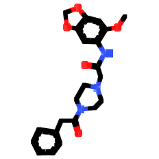 COc1cc2c(cc1NC(=O)CN1CCN(C(=O)Cc3ccccc3)CC1)OCO2